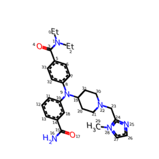 CCN(CC)C(=O)c1ccc(N(c2cccc(C(N)=O)c2)C2CCN(Cc3nccn3C)CC2)cc1